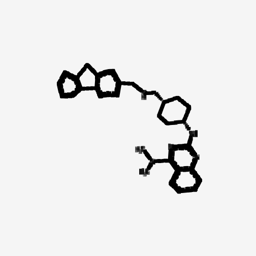 CN(C)c1nc(N[C@H]2CC[C@@H](CNCc3ccc4c(c3)Cc3ccccc3-4)CC2)nc2ccccc12